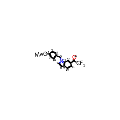 COc1ccc(Cn2ccc3ccc(C(=O)C(F)(F)F)cc32)cc1